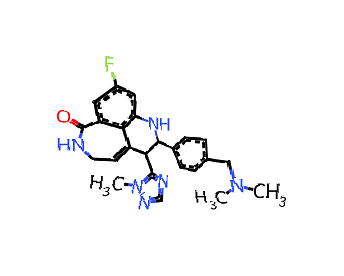 CN(C)Cc1ccc(C2Nc3cc(F)cc4c3C(=CCNC4=O)C2c2ncnn2C)cc1